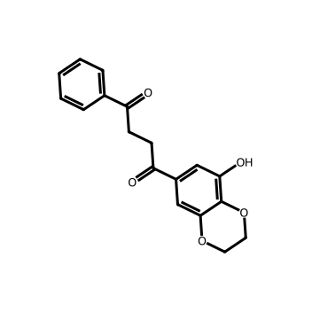 O=C(CCC(=O)c1cc(O)c2c(c1)OCCO2)c1ccccc1